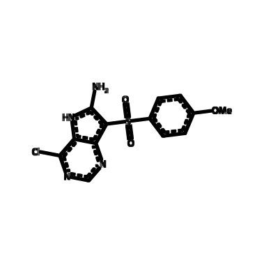 COc1ccc(S(=O)(=O)c2c(N)[nH]c3c(Cl)ncnc23)cc1